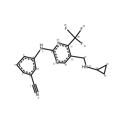 N#Cc1cccc(Nc2ncc(CNC3CC3)c(C(F)(F)F)n2)c1